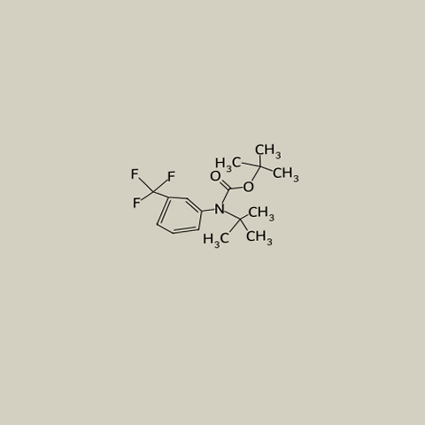 CC(C)(C)OC(=O)N(c1cccc(C(F)(F)F)c1)C(C)(C)C